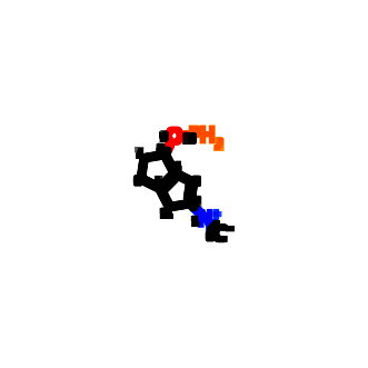 [C-]#[N+]C1=CC2=C(CCC2OP)C1